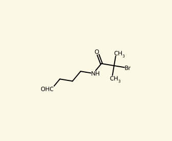 CC(C)(Br)C(=O)NCCCC=O